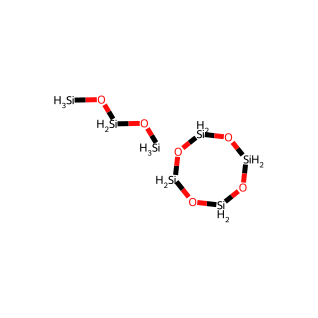 O1[SiH2]O[SiH2]O[SiH2]O[SiH2]1.[SiH3]O[SiH2]O[SiH3]